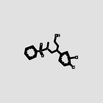 CN(CC(CCO)c1ccc(Cl)c(Cl)c1)S(=O)(=O)c1ccccc1